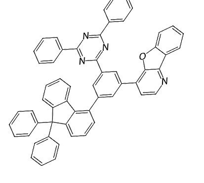 c1ccc(-c2nc(-c3ccccc3)nc(-c3cc(-c4cccc5c4-c4ccccc4C5(c4ccccc4)c4ccccc4)cc(-c4ccnc5c4oc4ccccc45)c3)n2)cc1